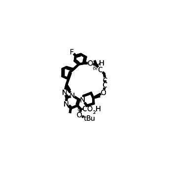 Cc1nc2nc3cn2c(c1[C@H](OC(C)(C)C)C(=O)O)N1CCC(C)(CC1)OCCCC[C@H](C)Oc1ccc(F)cc1-c1cccc-3c1